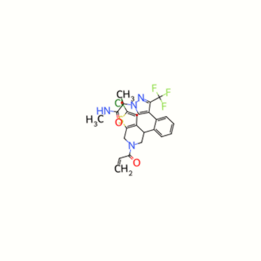 C=CC(=O)N1Cc2sc(Cl)cc2C(c2ccccc2-c2cn(C(C)C(=O)NC)nc2C(F)(F)F)C1